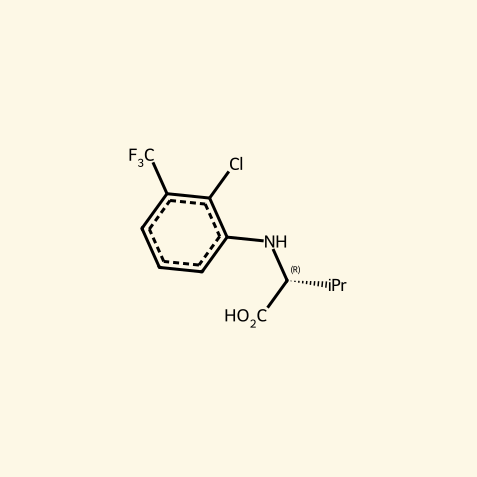 CC(C)[C@@H](Nc1cccc(C(F)(F)F)c1Cl)C(=O)O